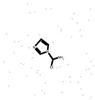 CCC(N)n1ccnc1